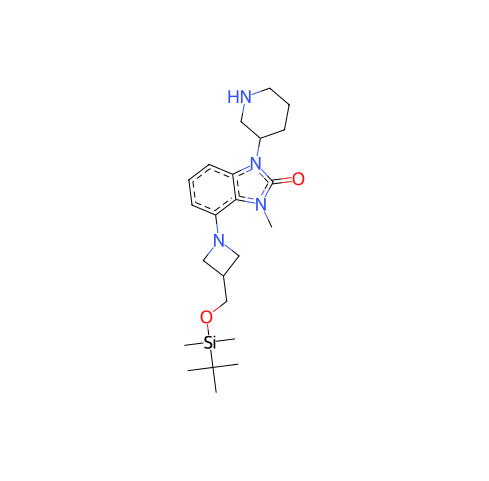 Cn1c(=O)n(C2CCCNC2)c2cccc(N3CC(CO[Si](C)(C)C(C)(C)C)C3)c21